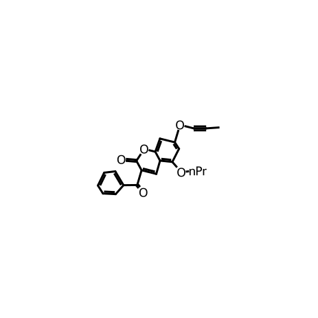 CC#COc1cc(OCCC)c2cc(C(=O)c3ccccc3)c(=O)oc2c1